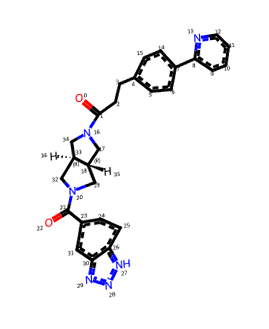 O=C(CCc1ccc(-c2ccccn2)cc1)N1C[C@@H]2CN(C(=O)c3ccc4[nH]nnc4c3)C[C@H]2C1